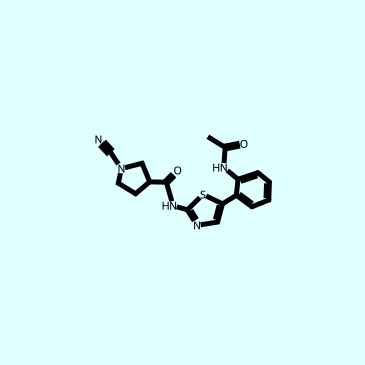 CC(=O)Nc1ccccc1-c1cnc(NC(=O)C2CCN(C#N)C2)s1